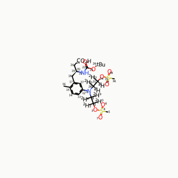 [2H]C([2H])(OS(C)(=O)=O)C([2H])([2H])N(c1ccc(C)c(C[C@@H](CC(=O)O)NC(=O)OC(C)(C)C)c1)C([2H])([2H])C([2H])([2H])OS(C)(=O)=O